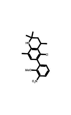 COc1c(-c2cc(C)c3c(c2Cl)C(C)CC(C)(C)N3)cccc1[N+](=O)[O-]